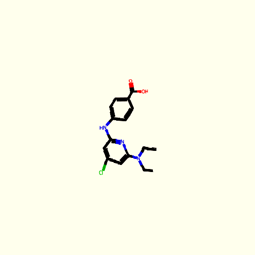 CCN(CC)c1cc(Cl)cc(Nc2ccc(C(=O)O)cc2)n1